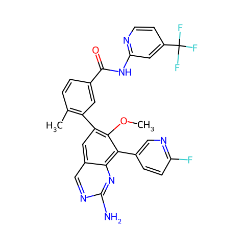 COc1c(-c2cc(C(=O)Nc3cc(C(F)(F)F)ccn3)ccc2C)cc2cnc(N)nc2c1-c1ccc(F)nc1